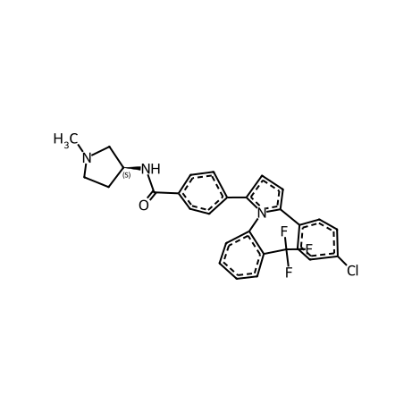 CN1CC[C@H](NC(=O)c2ccc(-c3ccc(-c4ccc(Cl)cc4)n3-c3ccccc3C(F)(F)F)cc2)C1